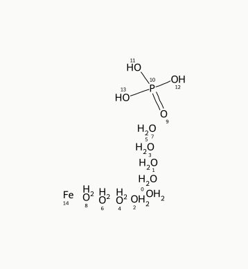 O.O.O.O.O.O.O.O.O.O=P(O)(O)O.[Fe]